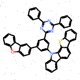 c1ccc(-c2nc(-c3ccccc3)nc(-c3cc(-c4ccc5oc6ccccc6c5c4)cc(-n4c5ccccc5c5ccc6c7ccccc7sc6c54)c3)n2)cc1